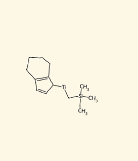 C[Si](C)(C)[CH2][Ti][CH]1C=CC2=C1CCCC2